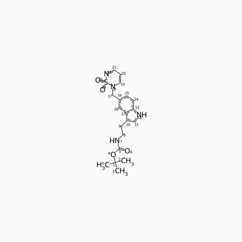 CC(C)(C)OC(=O)NCCc1c[nH]c2ccc(CN3C=CC=NS3(=O)=O)cc12